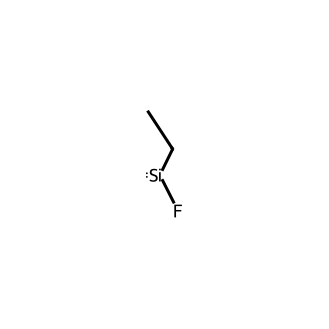 CC[Si]F